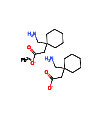 NCC1(CC(=O)[O-])CCCCC1.NCC1(CC(=O)[O-])CCCCC1.[Pb+2]